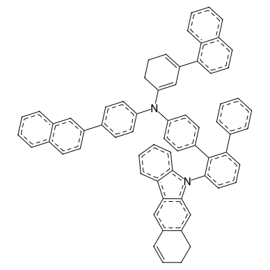 C1=Cc2cc3c4ccccc4n(-c4cccc(-c5ccccc5)c4-c4ccc(N(C5=CC(c6cccc7ccccc67)=CCC5)c5ccc(-c6ccc7ccccc7c6)cc5)cc4)c3cc2CC1